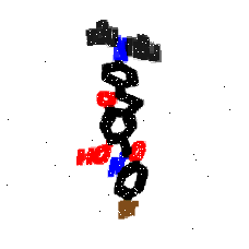 CCCCN(CCCC)c1ccc(-c2cc3cc(-c4nc5cc(Br)ccc5o4)c(O)cc3o2)cc1